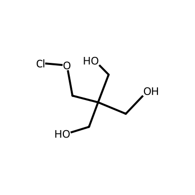 OCC(CO)(CO)COCl